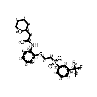 O=C(CC1CCCCO1)Nc1cccnc1SCCS(=O)(=O)c1cccc(C(F)(F)F)c1